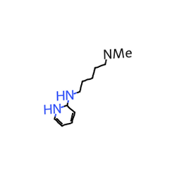 CNCCCCCNC1C=CC=CN1